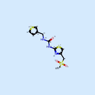 CCCS(=O)(=O)Cc1csc(NC(=O)NCc2ccsc2)n1